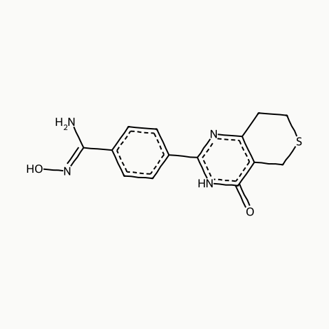 N/C(=N\O)c1ccc(-c2nc3c(c(=O)[nH]2)CSCC3)cc1